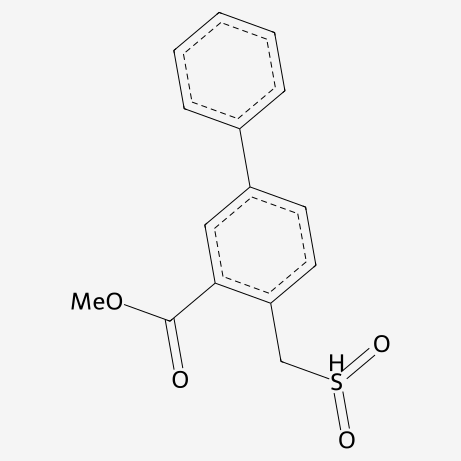 COC(=O)c1cc(-c2ccccc2)ccc1C[SH](=O)=O